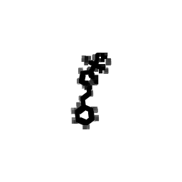 FC(F)(F)C(F)(F)c1ccn(CCc2ccccc2)n1